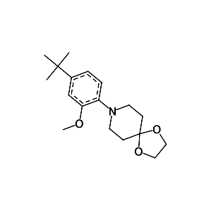 COc1cc(C(C)(C)C)ccc1N1CCC2(CC1)OCCO2